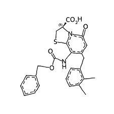 Cc1cccc(Cc2cc(=O)n3c(c2NC(=O)OCc2ccccc2)SC[C@H]3C(=O)O)c1C